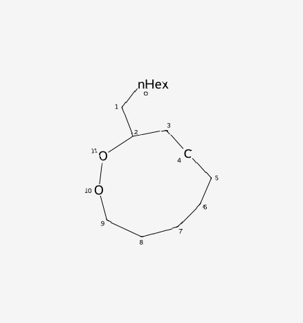 CCCCCCCC1CCCCCCCOO1